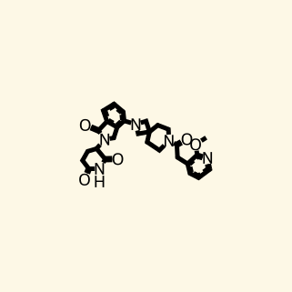 COc1ncccc1CC(=O)N1CCC2(CC1)CN(c1cccc3c1CN(C1CCC(=O)NC1=O)C3=O)C2